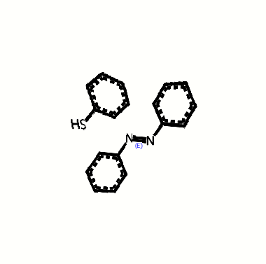 Sc1ccccc1.c1ccc(/N=N/c2ccccc2)cc1